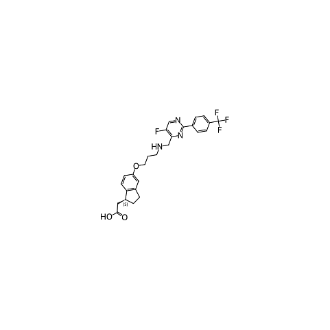 O=C(O)C[C@@H]1CCc2cc(OCCCNCc3nc(-c4ccc(C(F)(F)F)cc4)ncc3F)ccc21